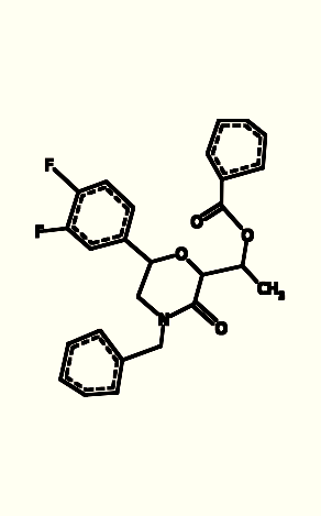 CC(OC(=O)c1ccccc1)C1OC(c2ccc(F)c(F)c2)CN(Cc2ccccc2)C1=O